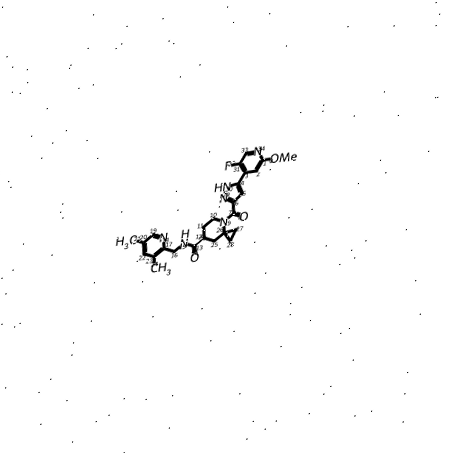 COc1cc(-c2cc(C(=O)N3CC[C@H](C(=O)NCc4ncc(C)cc4C)CC34CC4)n[nH]2)c(F)cn1